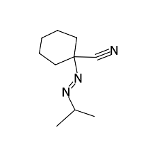 CC(C)N=NC1(C#N)CCCCC1